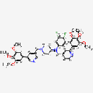 COc1cc(-c2cncc(CN3CCC(N(Cc4ccnc(-c5cc(OC)c(OC)c(OC)c5)c4)c4ccc(F)c(F)c4)CC3)c2)cc(OC)c1OC